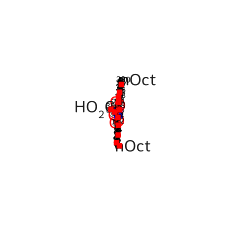 CCCCCCCC/C=C\CCCCCCCC(=O)OCCN(CCOC(=O)CCCCCCC/C=C\CCCCCCCC)C(=O)CCC(=O)O